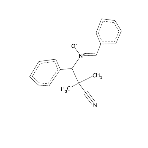 CC(C)(C#N)C(c1ccccc1)/[N+]([O-])=C/c1ccccc1